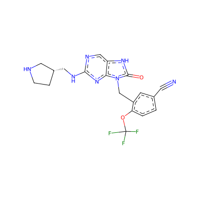 N#Cc1ccc(OC(F)(F)F)c(Cn2c(=O)[nH]c3cnc(NC[C@@H]4CCNC4)nc32)c1